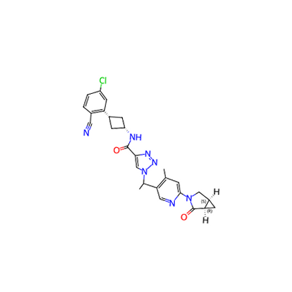 Cc1cc(N2C[C@H]3C[C@H]3C2=O)ncc1C(C)n1cc(C(=O)N[C@H]2C[C@@H](c3cc(Cl)ccc3C#N)C2)nn1